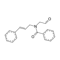 O=CCN(C/C=C/c1ccccc1)C(=O)c1ccccc1